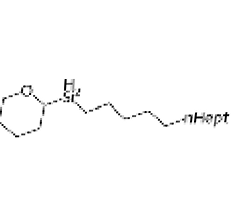 CCCCCCCCCCCC[SiH2]C1CCCCO1